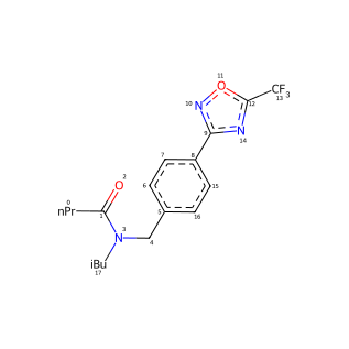 CCCC(=O)N(Cc1ccc(-c2noc(C(F)(F)F)n2)cc1)C(C)CC